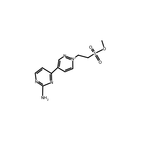 COS(=O)(=O)CC[n+]1ccc(-c2ccnc(N)n2)cn1